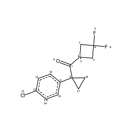 O=C(N1CC(F)(F)C1)C1(c2ccc(Cl)nc2)CC1